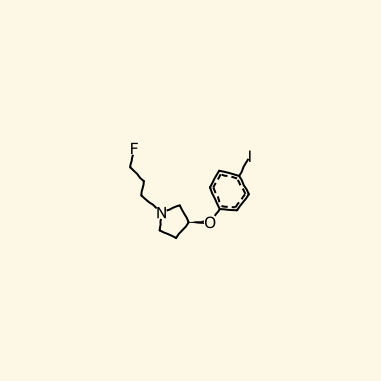 FCCCN1CC[C@H](Oc2ccc(I)cc2)C1